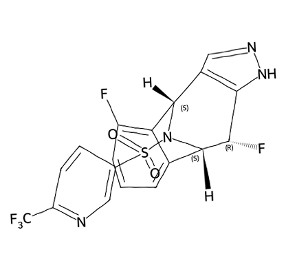 O=S(=O)(c1ccc(C(F)(F)F)nc1)N1[C@H]2c3cn[nH]c3[C@H](F)[C@@H]1c1cccc(F)c12